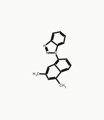 Cc1cc(C)c2cccc(-n3nnc4ccccc43)c2c1